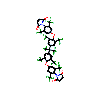 O=C1C=CC(=O)N1c1c(C(F)(F)F)cc(Oc2c(C(F)(F)F)cc(C(c3cc(C(F)(F)F)c(Oc4cc(C(F)(F)F)c(N5C(=O)C=CC5=O)c(C(F)(F)F)c4)c(C(F)(F)F)c3)(C(F)(F)F)C(F)(F)F)cc2C(F)(F)F)cc1C(F)(F)F